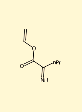 C=COC(=O)C(=N)CCC